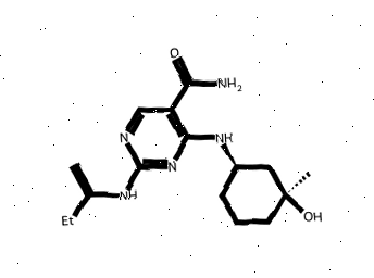 C=C(CC)Nc1ncc(C(N)=O)c(N[C@@H]2CCC[C@](C)(O)C2)n1